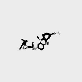 COc1ccc(N)cc1N[C@H]1CC[C@H](NC(=O)OC(C)(C)C)CC1